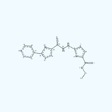 CCOC(=O)c1csc(NNC(=O)c2csc(-c3ccncc3)n2)n1